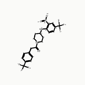 O=C(Cc1ccc(C(F)(F)F)cc1)N1CCC(Nc2ccc(C(F)(F)F)cc2[N+](=O)[O-])CC1